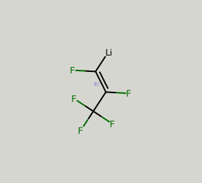 [Li]/[C](F)=C(\F)C(F)(F)F